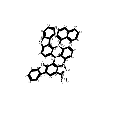 Cc1nn2c3c(c4oc5ccccc5c4cc13)B1c3ccc4oc5ccccc5c4c3N(c3cccc4ccccc34)c3cccc-2c31